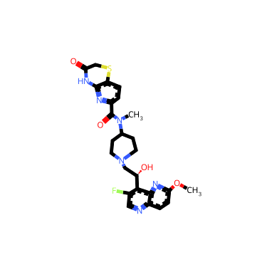 COc1ccc2ncc(F)c([C@@H](O)CN3CCC(N(C)C(=O)c4ccc5c(n4)NC(=O)CS5)CC3)c2n1